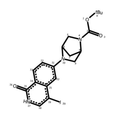 CC(C)(C)OC(=O)N1CC2CC1CN2c1ccc2c(=O)[nH]cc(I)c2c1